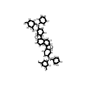 Cc1cc(C)cc(N(C2=Cc3oc4ccc5c(ccc6oc7cc(N(c8ccccc8)c8ccc(C)cc8C)ccc7c65)c4c3CC2)c2ccccc2)c1